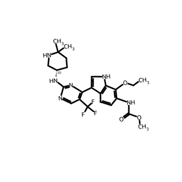 CCOc1c(NC(=O)OC)ccc2c(-c3nc(N[C@H]4CCC(C)(C)NC4)ncc3C(F)(F)F)c[nH]c12